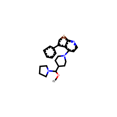 CCOC(C1CCN(c2ccnc3scc(-c4ccccc4)c23)CC1)N1CCCC1